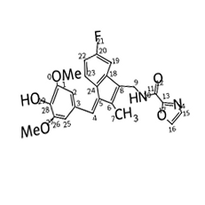 COc1cc(/C=C2/C(C)=C(CNC(=O)c3ncco3)c3cc(F)ccc32)cc(OC)c1O